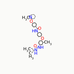 CCC(CC)NC(=O)Nc1ccc(Oc2ccc(NC(=O)c3ccc(OC45CCCC(CC4)N5C)cc3)cc2)c(C)c1